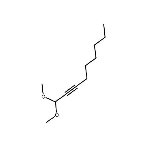 CCCCCCC#CC(OC)OC